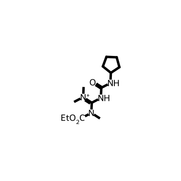 CCOC(=O)N(C)C(NC(=O)NC1CCCC1)=[N+](C)C